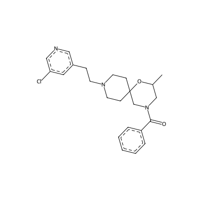 CC1CN(C(=O)c2ccccc2)CC2(CCN(CCc3cncc(Cl)c3)CC2)O1